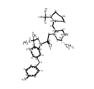 C[C@@H]1CN(CC(=O)N2CC(C)(C)c3ncc(Cc4ccc(F)cc4)cc32)[C@@H](CN2CCCC2C(F)(F)F)CN1